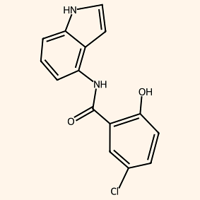 O=C(Nc1cccc2[nH]ccc12)c1cc(Cl)ccc1O